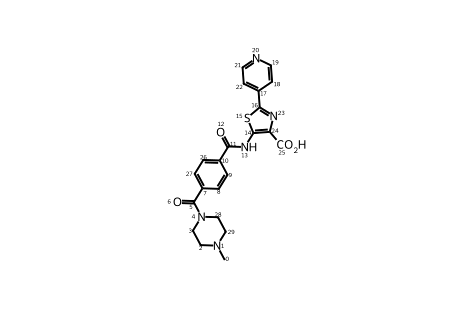 CN1CCN(C(=O)c2ccc(C(=O)Nc3sc(-c4ccncc4)nc3C(=O)O)cc2)CC1